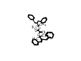 CC(C)(OC(=O)C(=O)OC(C)(C)C(Cc1ccccc1)Cc1ccccc1)C(Cc1ccccc1)Cc1ccccc1